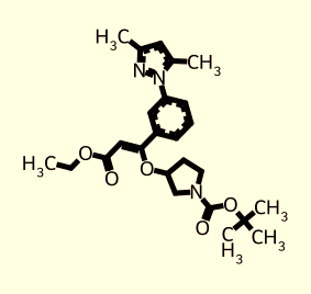 CCOC(=O)C=C(OC1CCN(C(=O)OC(C)(C)C)C1)c1cccc(-n2nc(C)cc2C)c1